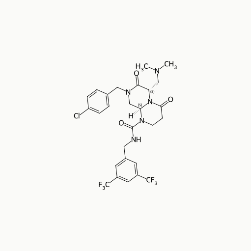 CN(C)C[C@H]1C(=O)N(Cc2ccc(Cl)cc2)C[C@@H]2N(C(=O)NCc3cc(C(F)(F)F)cc(C(F)(F)F)c3)CCC(=O)N21